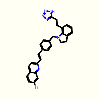 Clc1ccc2ccc(/C=C/c3ccc(CN4CCc5cccc(CCc6nnn[nH]6)c54)cc3)nc2c1